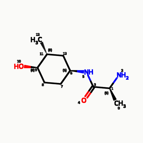 C[C@H](N)C(=O)N[C@H]1CC[C@@H](O)[C@H](C)C1